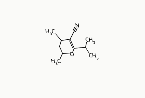 CC1CC(C)C(C#N)=C(C(C)C)O1